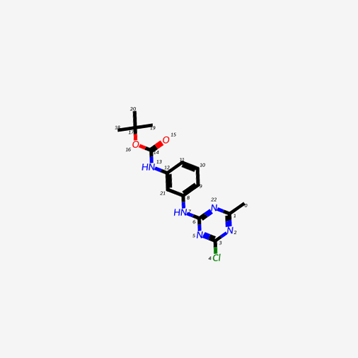 Cc1nc(Cl)nc(Nc2cccc(NC(=O)OC(C)(C)C)c2)n1